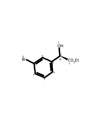 CCOC(=O)[C@H](O)c1cccc(Br)c1